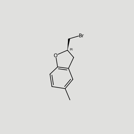 Cc1ccc2c(c1)C[C@H](CBr)O2